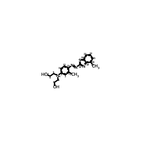 Cc1cc(N(CCO)CCO)ccc1/N=N/c1nc2c(C)cccc2s1